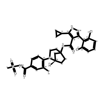 CS(=O)(=O)NC(=O)c1ccc(N2CCC3(OC(=O)c4c(-c5c(Cl)cccc5Cl)noc4C4CC4)CC[C@H]2C3)c(F)c1